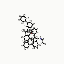 C=C/C=C\c1c(-c2ccccc2)n(-c2cccc3c2C(=O)N(c2cccc(-c4ccccc4)c2)C3=O)c2c(-c3ccccc3)cccc12